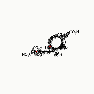 CCCCCC[C@@H]1NC(=O)[C@H](Cc2ccc(CNC(=O)COCCOCCNC(=O)CCCCC3(N(CC(=O)O)CC(=O)O)CN(CC(=O)O)CCN(CC(=O)O)C3)cc2)NC(=O)[C@H](Cc2ccccc2)N(C)C(=O)CNC(=O)CNC(=O)[C@H]2CCCN2C(=O)[C@H](CC(=O)O)NC(=O)[C@H](CCCCNC(=O)N2CCN(CC(=O)O)CC2)NC(=O)CNC(=O)[C@H](Cc2c[nH]c3ccccc23)NC1=O.O=C(O)C(F)(F)F